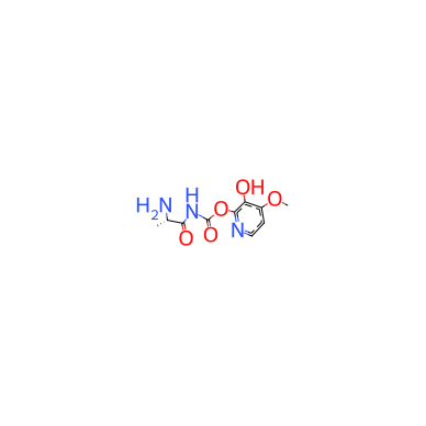 COc1ccnc(OC(=O)NC(=O)[C@H](C)N)c1O